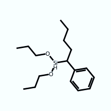 CCCCC(c1ccccc1)[SiH](OCCC)OCCC